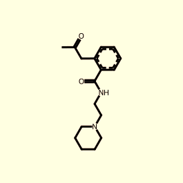 CC(=O)Cc1ccccc1C(=O)NCCN1CCCCC1